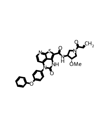 C=CC(=O)N1CC(NC(=O)c2sc3nccc4c3c2NC(=O)N4c2ccc(Oc3ccccc3)cc2)[C@@H](OC)C1